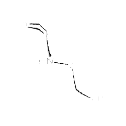 C[CH2][Zr][NH]C=O